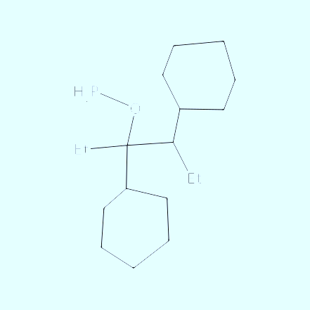 CCC(C1CCCCC1)C(CC)(OP)C1CCCCC1